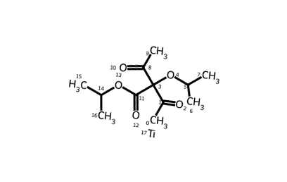 CC(=O)C(OC(C)C)(C(C)=O)C(=O)OC(C)C.[Ti]